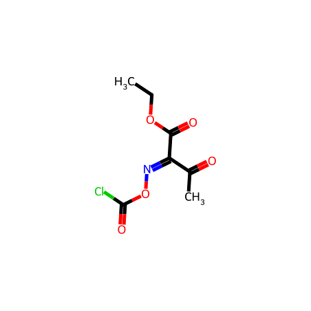 CCOC(=O)C(=NOC(=O)Cl)C(C)=O